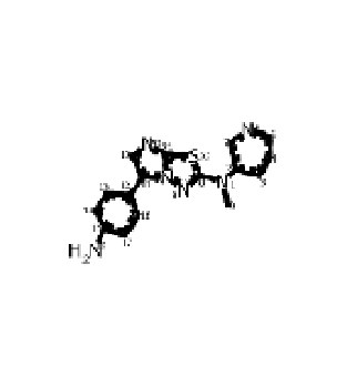 CN(c1cccnc1)c1nn2c(-c3ccc(N)cc3)cnc2s1